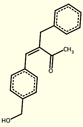 CC(=O)C(=Cc1ccc(CO)cc1)Cc1ccccc1